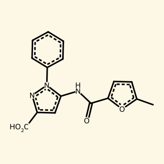 Cc1ccc(C(=O)Nc2cc(C(=O)O)nn2-c2ccccc2)o1